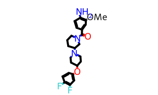 COc1cc(C(=O)N2CCCC(N3CCC(Oc4ccc(F)c(F)c4)CC3)C2)ccc1N